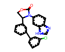 O=C1OCC(c2cccc(-c3cccc(Cl)c3)c2)N1c1ccc2nc[nH]c2c1